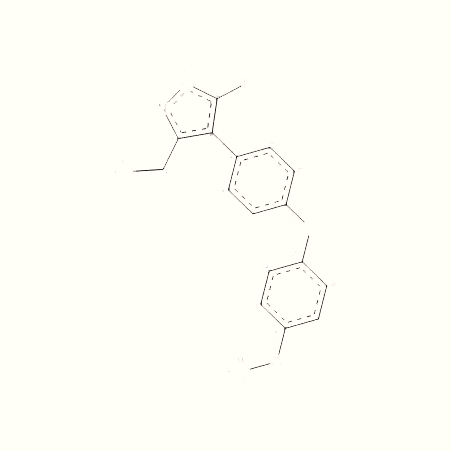 Cc1onc(CO)c1-c1ccc(Oc2ccc(OC(F)(F)F)cc2)cc1